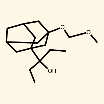 CCC(O)(CC)C12CC3CC(CC(OCOC)(C3)C1)C2